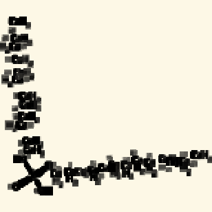 O=S(=O)(O)O.[CaH2].[CaH2].[CaH2].[CaH2].[CaH2].[CaH2].[CaH2].[CaH2].[CaH2].[CaH2].[CaH2].[CaH2].[CaH2].[CaH2].[CaH2].[CaH2].[CaH2].[CaH2].[CaH2].[CaH2].[CaH2].[CaH2].[CaH2].[CaH2].[CaH2]